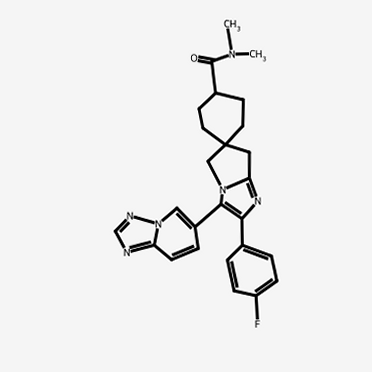 CN(C)C(=O)C1CCC2(CC1)Cc1nc(-c3ccc(F)cc3)c(-c3ccc4ncnn4c3)n1C2